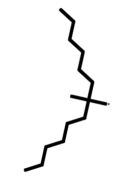 [CH2]C(C)(CCCCCC)CCCCCC